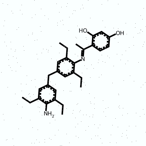 CCc1cc(Cc2cc(CC)c(/N=C(\C)c3ccc(O)cc3O)c(CC)c2)cc(CC)c1N